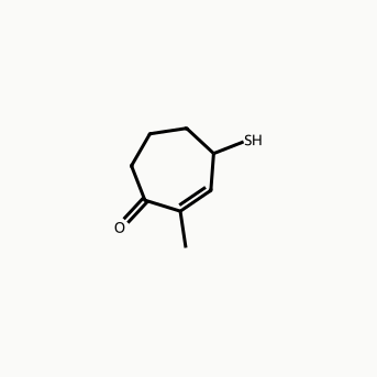 CC1=CC(S)CCCC1=O